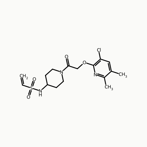 C=CS(=O)(=O)NC1CCN(C(=O)COc2nc(C)c(C)cc2Cl)CC1